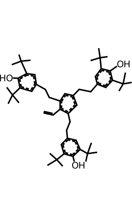 C=Cc1c(CCc2cc(C(C)(C)C)c(O)c(C(C)(C)C)c2)cc(CCc2cc(C(C)(C)C)c(O)c(C(C)(C)C)c2)cc1CCc1cc(C(C)(C)C)c(O)c(C(C)(C)C)c1